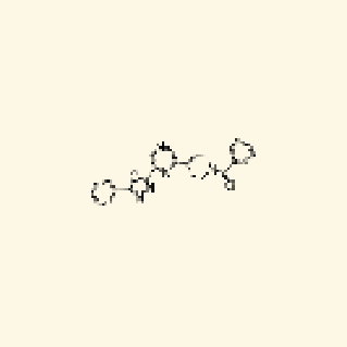 O=C(c1ccccc1)N1CC=C(c2cncc(-c3nnc(-c4ccccc4)o3)n2)CC1